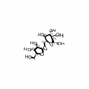 OC[C@@H]1O[C@@H](OC[C@H]2O[C@@H](O)[C@H](O)[C@@H](O)[C@@H]2O)[C@H](O)[C@H]1O